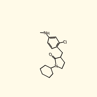 CNc1ccc(CC2CCN(C3CCCCC3)C2=O)c(Cl)c1